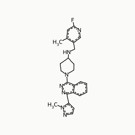 Cc1cc(F)ncc1CNC1CCN(c2nnc(-c3ccnn3C)c3ccccc23)CC1